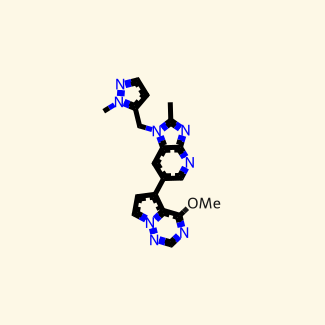 COc1ncnn2ccc(-c3cnc4nc(C)n(Cc5ccnn5C)c4c3)c12